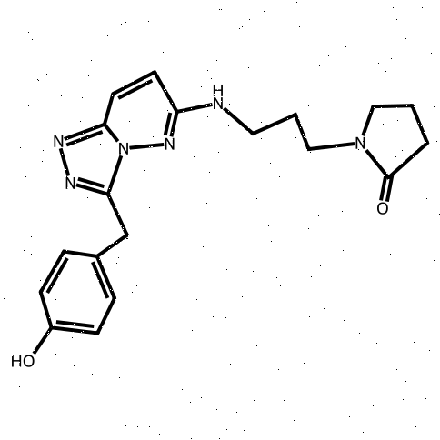 O=C1CCCN1CCCNc1ccc2nnc(Cc3ccc(O)cc3)n2n1